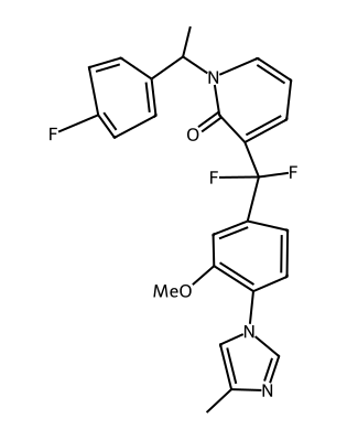 COc1cc(C(F)(F)c2cccn(C(C)c3ccc(F)cc3)c2=O)ccc1-n1cnc(C)c1